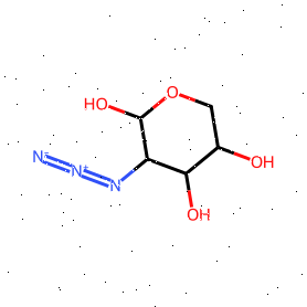 [N-]=[N+]=NC1C(O)OCC(O)C1O